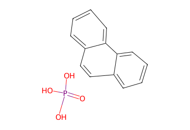 O=P(O)(O)O.c1ccc2c(c1)ccc1ccccc12